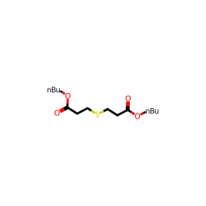 CCCCOC(=O)CCSCCC(=O)OCCCC